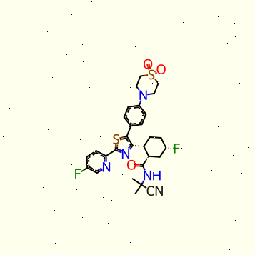 CC(C)(C#N)NC(=O)[C@@H]1C[C@@H](F)CC[C@H]1c1nc(-c2ccc(F)cn2)sc1-c1ccc(N2CCS(=O)(=O)CC2)cc1